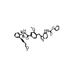 COCCC#Cc1ccccc1S(=O)(=O)NC(=O)c1ccc(Cc2cn(C)c3ccc(NC(=O)OC4CCCC4)cc23)c(OC)c1